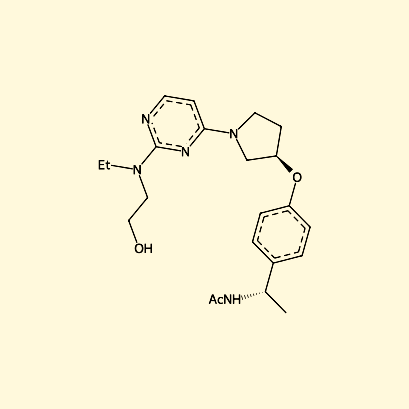 CCN(CCO)c1nccc(N2CC[C@@H](Oc3ccc([C@H](C)NC(C)=O)cc3)C2)n1